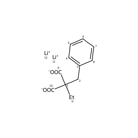 CCC(Cc1ccccc1)(C(=O)[O-])C(=O)[O-].[Li+].[Li+]